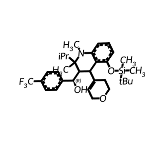 CC(C)C1(C)C([C@@H](O)c2ccc(C(F)(F)F)cc2)C(C2=CCOCC2)c2c(O[Si](C)(C)C(C)(C)C)cccc2N1C